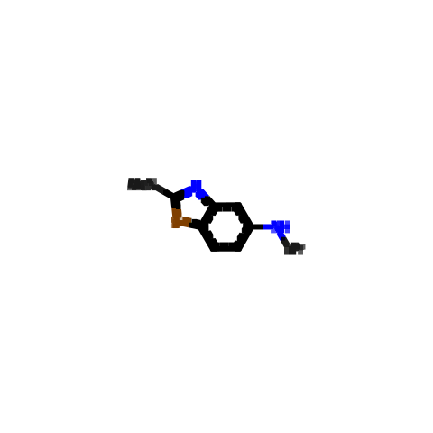 CCCNc1ccc2sc(NC)nc2c1